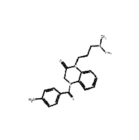 CN(C)CCCN1C(=O)CN(C(=O)c2ccc(N)cc2)c2ccccc21